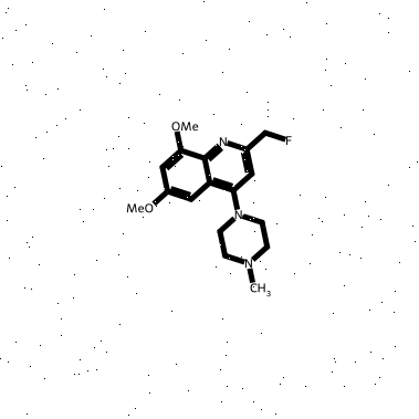 COc1cc(OC)c2nc(CF)cc(N3CCN(C)CC3)c2c1